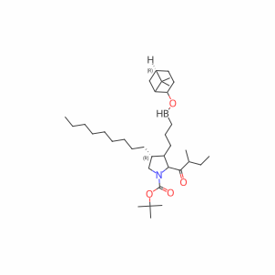 CCCCCCCCC[C@H]1CN(C(=O)OC(C)(C)C)C(C(=O)C(C)CC)C1CCCBOC1CC[C@@H]2CC1C2(C)C